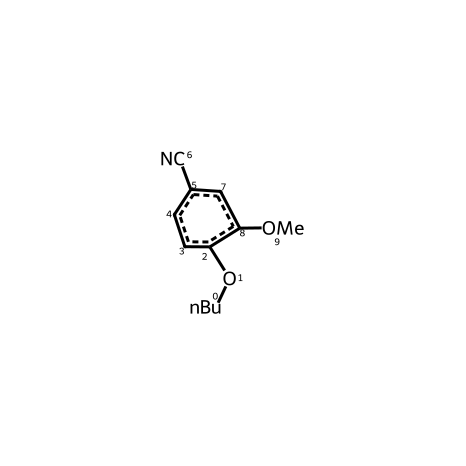 CCCCOc1ccc(C#N)cc1OC